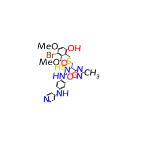 COC(=O)c1c(Br)c(OC)cc(O)c1CSCC(c1nc(C)no1)N(S)C(=O)Nc1ccc(Nc2ccncc2)cc1